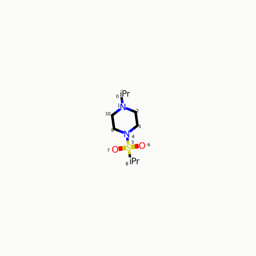 CC(C)N1CCN(S(=O)(=O)C(C)C)CC1